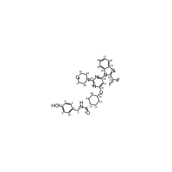 O=C(NCc1ccc(O)cc1)[C@H]1CC[C@H](Oc2cc(-n3c(C(F)F)nc4ccccc43)nc(N3CCOCC3)n2)CC1